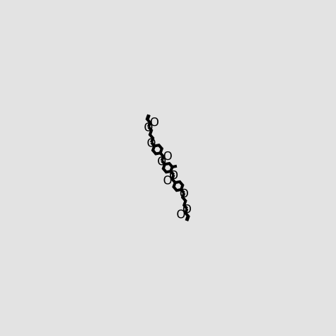 C=CC(=O)OCCCOC1CCC(C(=O)OC2CCC(OC(=O)C3CCC(OCCCOC(=O)C=C)CC3)C(C)C2)CC1